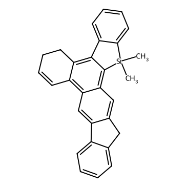 C[Si]1(C)c2ccccc2-c2c3c(c4cc5c(cc4c21)Cc1ccccc1-5)C=CCC3